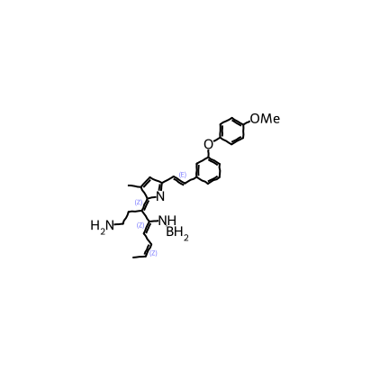 BNC(=C\C=C/C)/C(CCN)=C1N=C(/C=C/c2cccc(Oc3ccc(OC)cc3)c2)C=C\1C